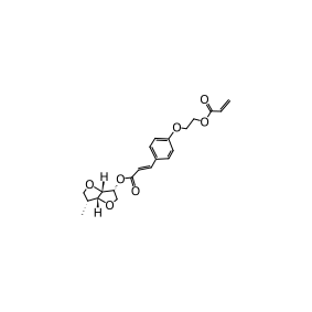 C=CC(=O)OCCOc1ccc(/C=C/C(=O)O[C@@H]2CO[C@H]3[C@@H]2OC[C@H]3C)cc1